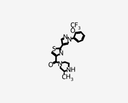 C[C@H]1CN(C(=O)c2csc(-c3cnn(-c4ccccc4OC(F)(F)F)c3)n2)CCN1